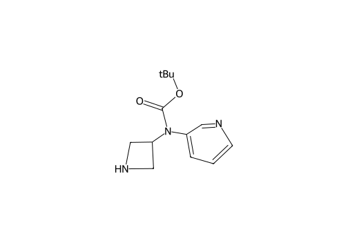 CC(C)(C)OC(=O)N(c1cccnc1)C1CNC1